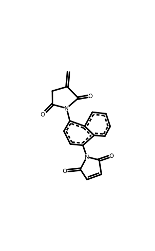 C=C1CC(=O)N(c2ccc(N3C(=O)C=CC3=O)c3ccccc23)C1=O